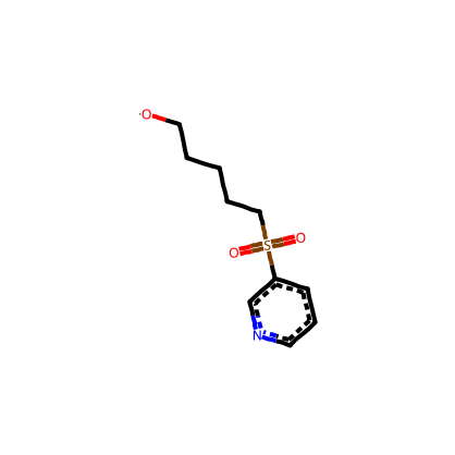 [O]CCCCCS(=O)(=O)c1cccnc1